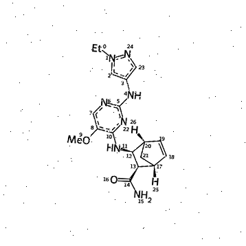 CCn1cc(Nc2ncc(OC)c(N[C@@H]3[C@H](C(N)=O)[C@H]4C=C[C@@H]3C4)n2)cn1